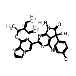 C=C/C(=C\C)[C@H](C)Oc1nc(-c2nc(N)c3c(n2)N(N)C(=O)C3(C)c2ccc(Cl)cc2)cn2ccnc12